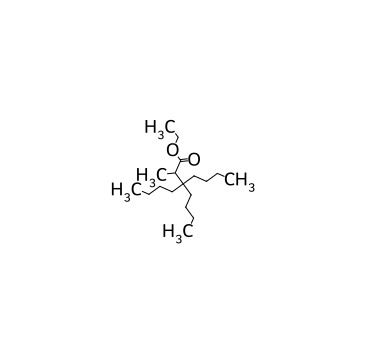 CCCCC(CCCC)(CCCC)C(C)C(=O)OCC